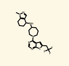 Cn1ncc2c1CCCC2NC1CCCN(c2ncnc3sc(CC(F)(F)F)cc23)CC1